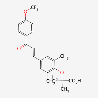 Cc1cc(/C=C/C(=O)c2ccc(OC(F)(F)F)cc2)cc(C)c1OC(C)(C)C(=O)O